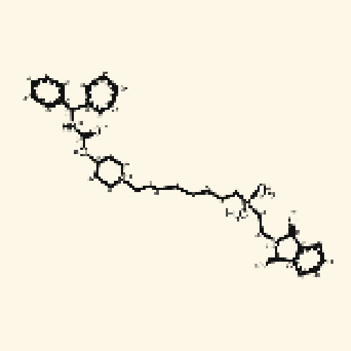 C[N+](C)(CCCCCCCCN1CCC(OC(=O)NC(c2ccccc2)c2ccccc2)CC1)CCN1C(=O)c2ccccc2C1=O